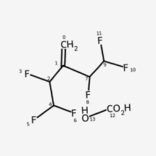 C=C(C(F)C(F)F)C(F)C(F)F.O=C(O)O